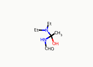 CCN(CC)C(C)(O)NC=O